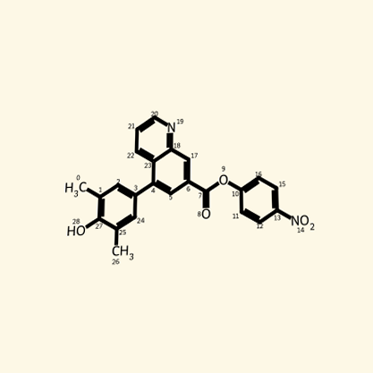 Cc1cc(-c2cc(C(=O)Oc3ccc([N+](=O)[O-])cc3)cc3ncccc23)cc(C)c1O